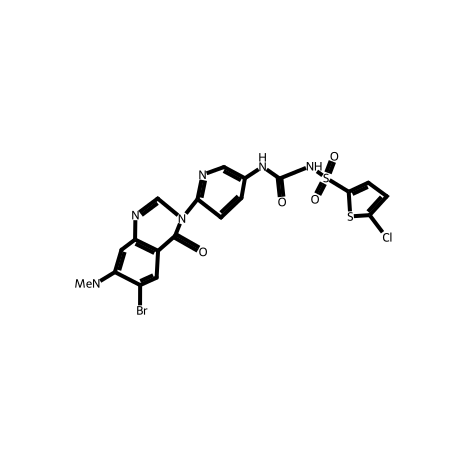 CNc1cc2ncn(-c3ccc(NC(=O)NS(=O)(=O)c4ccc(Cl)s4)cn3)c(=O)c2cc1Br